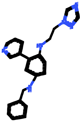 c1ccc(CNc2ccc(NCCn3cncn3)c(-c3cccnc3)c2)cc1